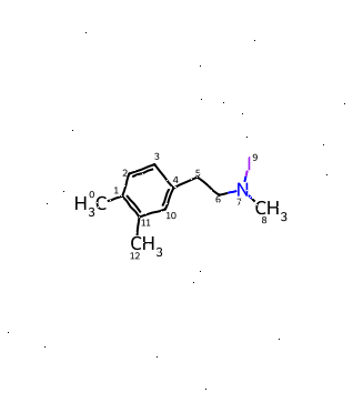 Cc1ccc(CCN(C)I)cc1C